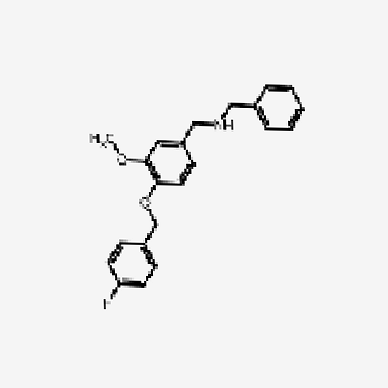 COc1cc(CNCc2ccccc2)ccc1OCc1ccc(F)cc1